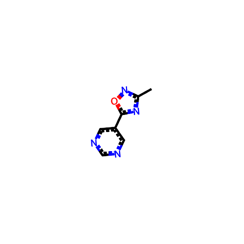 Cc1noc(-c2cncnc2)n1